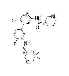 CC1(C)COC[C@@H](CNc2cc(-c3cc(NC(=O)[C@@H]4CCCNC4)ncc3Cl)ccc2F)O1